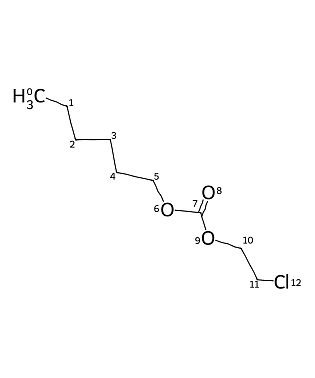 CCCCCCOC(=O)OCCCl